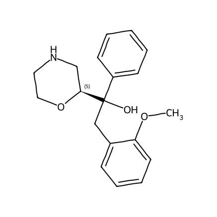 COc1ccccc1CC(O)(c1ccccc1)[C@@H]1CNCCO1